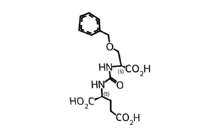 O=C(O)CC[C@H](NC(=O)N[C@@H](COCc1ccccc1)C(=O)O)C(=O)O